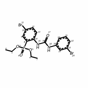 CCOP(=O)(OCC)c1cc(Br)ccc1NC(=O)Nc1cccc(Br)c1